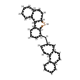 c1ccc2c(c1)ccc1cc(Cc3cccc4c3sc3ccc5ccccc5c34)ccc12